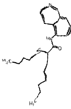 CCCCCCC(SCCCC)C(=O)Nc1cccc2cnccc12